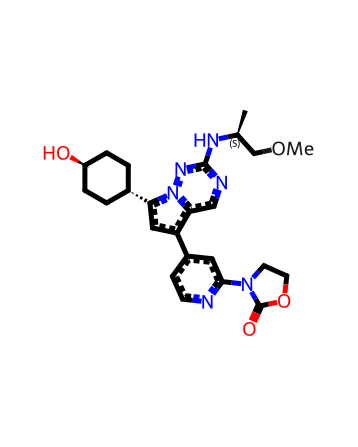 COC[C@H](C)Nc1ncc2c(-c3ccnc(N4CCOC4=O)c3)cc([C@H]3CC[C@H](O)CC3)n2n1